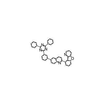 c1ccc(-c2nc(-c3ccccc3)nc(-c3cccc(-c4ccc5nc(-c6cccc7oc8cccnc8c67)ccc5c4)c3)n2)cc1